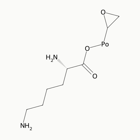 NCCCC[C@H](N)C(=O)[O][Po][CH]1CO1